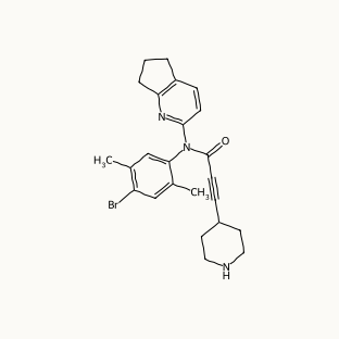 Cc1cc(N(C(=O)C#CC2CCNCC2)c2ccc3c(n2)CCC3)c(C)cc1Br